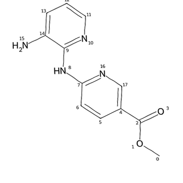 COC(=O)c1ccc(Nc2ncccc2N)nc1